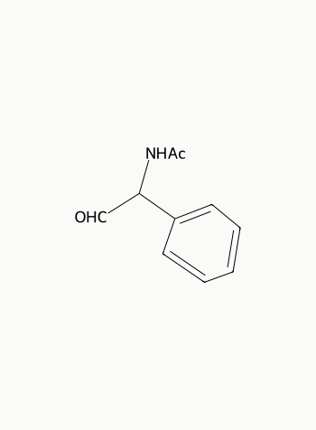 CC(=O)NC(C=O)c1ccccc1